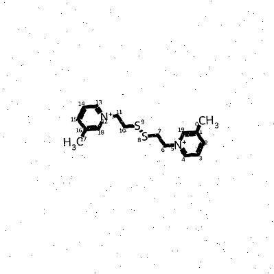 Cc1ccc[n+](CCSSCC[n+]2cccc(C)c2)c1